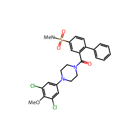 CNS(=O)(=O)c1ccc(-c2ccccc2)c(C(=O)N2CCN(c3cc(Cl)c(OC)c(Cl)c3)CC2)c1